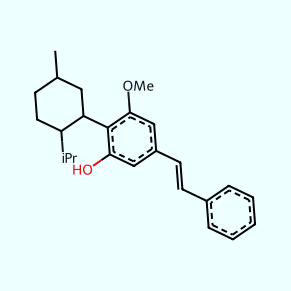 COc1cc(/C=C/c2ccccc2)cc(O)c1C1CC(C)CCC1C(C)C